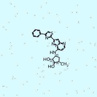 [CH2][C@@H]1C[C@@H](Nc2ccnc3cc(-c4nc(-c5ccccc5)cs4)nn23)[C@H](O)[C@@H]1O